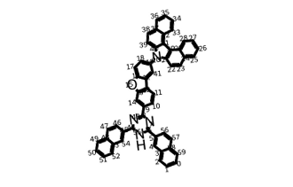 c1ccc2cc(C3=NC(c4ccc5c(c4)oc4ccc(-n6c7ccc8ccccc8c7c7c8ccccc8ccc76)cc45)=NC(c4ccc5ccccc5c4)N3)ccc2c1